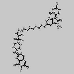 CC(C)n1c(=O)c(Cl)cc2cnc(NC3CCN(S(=O)(=O)c4cnn(CCCCCCCCc5ccc6c(c5)n(C)c(=O)n6C5CCC(=O)NC5=O)c4)CC3)nc21